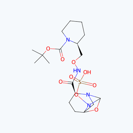 CC(C)(C)OC(=O)N1CCCC[C@H]1CONC(=O)[C@@H]1CCC23CN1C(O2)N3OS(=O)(=O)O